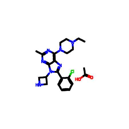 CC(=O)O.CCN1CCN(c2nc(C)nc3c2nc(-c2ccccc2Cl)n3C2CNC2)CC1